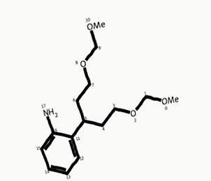 COCOCCC(CCOCOC)c1ccccc1N